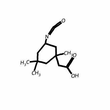 CC1(C)CC(N=C=O)CC(C)(CC(=O)O)C1